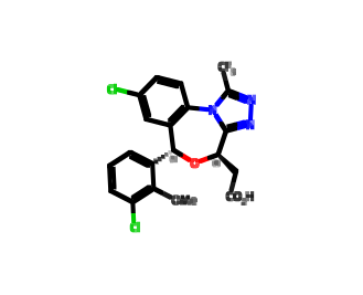 COc1c(Cl)cccc1[C@H]1O[C@H](CC(=O)O)c2nnc(C(F)(F)F)n2-c2ccc(Cl)cc21